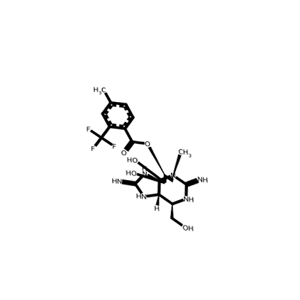 Cc1ccc(C(=O)O[C@H]2[C@H](C)N3C(=N)N[C@@H](CO)[C@@H]4NC(=N)N[C@@]43C2(O)O)c(C(F)(F)F)c1